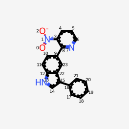 O=[N+]([O-])c1cccnc1-c1ccc2[nH]cc(-c3ccccc3)c2c1